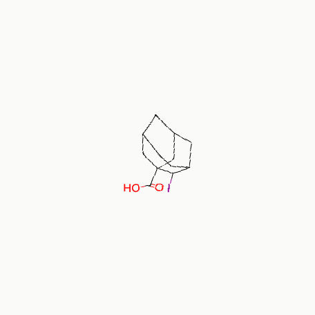 O=C(O)C12CC3CC(CC(C3)C1I)C2